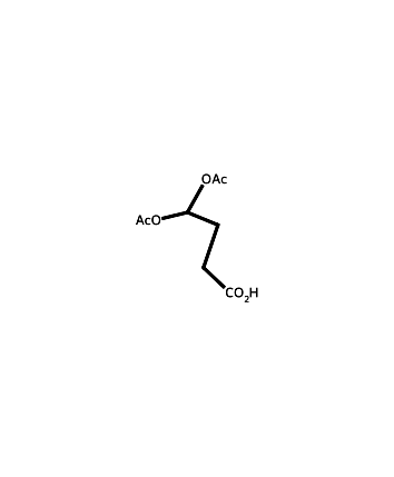 CC(=O)OC(CCC(=O)O)OC(C)=O